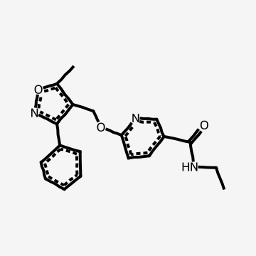 CCNC(=O)c1ccc(OCc2c(-c3ccccc3)noc2C)nc1